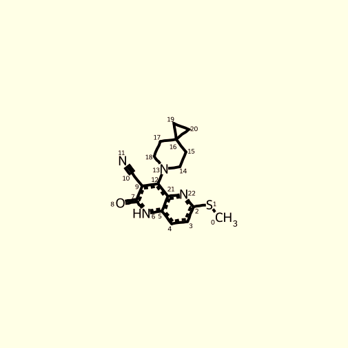 CSc1ccc2[nH]c(=O)c(C#N)c(N3CCC4(CC3)CC4)c2n1